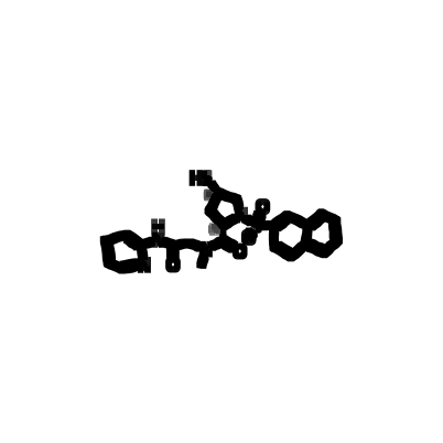 CN(CC(=O)Nc1ccccn1)C(=O)[C@@H]1C[C@@H](S)CN1S(=O)(=O)c1ccc2ccccc2c1